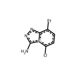 CCc1ccc(Cl)n2c(N)nnc12